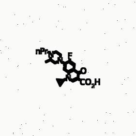 CCCN1CCN(c2cc3c(cc2F)c(=O)c(C(=O)O)cn3C2CC2)CC1C